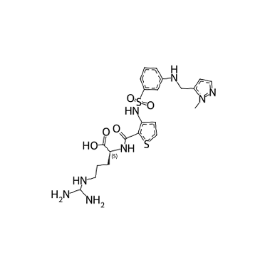 Cn1nccc1CNc1cccc(S(=O)(=O)Nc2ccsc2C(=O)N[C@@H](CCCNC(N)N)C(=O)O)c1